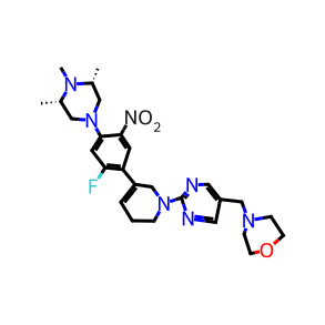 C[C@@H]1CN(c2cc(F)c(C3=CCCN(c4ncc(CN5CCOCC5)cn4)C3)cc2[N+](=O)[O-])C[C@H](C)N1C